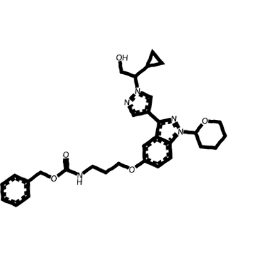 O=C(NCCCOc1ccc2c(c1)c(-c1cnn(C(CO)C3CC3)c1)nn2C1CCCCO1)OCc1ccccc1